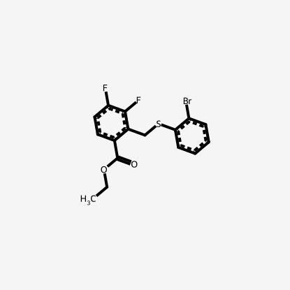 CCOC(=O)c1ccc(F)c(F)c1CSc1ccccc1Br